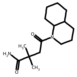 CC(C)(CC(=O)N1CCCC2CCCCC21)C(N)=O